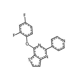 Fc1ccc(Oc2nc(-c3ccncc3)nc3ccsc23)c(F)c1